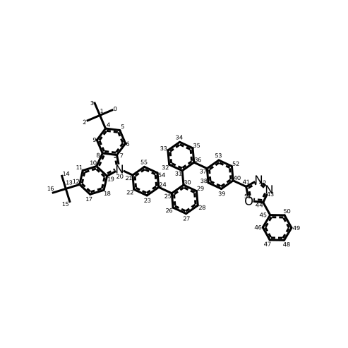 CC(C)(C)c1ccc2c(c1)c1cc(C(C)(C)C)ccc1n2-c1ccc(-c2ccccc2-c2ccccc2-c2ccc(-c3nnc(-c4ccccc4)o3)cc2)cc1